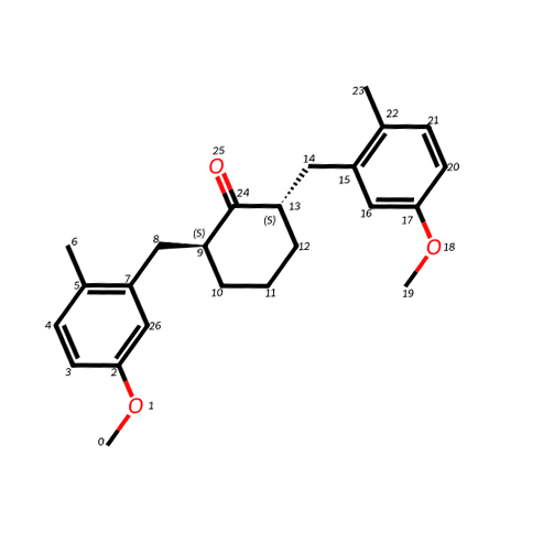 COc1ccc(C)c(C[C@@H]2CCC[C@@H](Cc3cc(OC)ccc3C)C2=O)c1